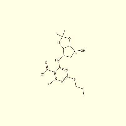 CCCSc1nc(Cl)c([N+](=O)[O-])c(NC2C[C@H](O)C3OC(C)(C)OC23)n1